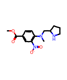 COC(=O)c1ccc(N(C)CC2CCCN2)c([N+](=O)[O-])c1